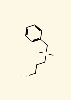 CCCCCCCCCCCC[As+](CC)(CC)Cc1ccccc1.[Cl-]